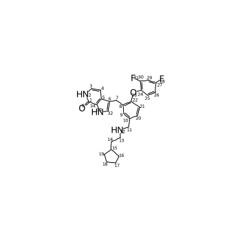 O=c1[nH]ccc2c(Cc3cc(CNCCC4CCCC4)ccc3Oc3ccc(F)cc3F)c[nH]c12